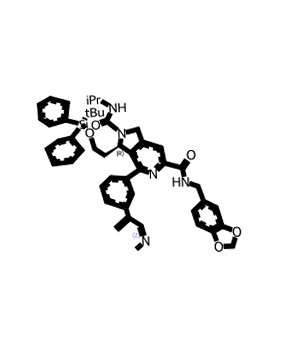 C=C(/C=N\C)c1cccc(-c2nc(C(=O)NCc3ccc4c(c3)OCO4)cc3c2[C@@H](CCO[Si](c2ccccc2)(c2ccccc2)C(C)(C)C)N(C(=O)NC(C)C)C3)c1